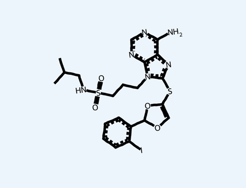 CC(C)CNS(=O)(=O)CCCn1c(SC2=COC(c3ccccc3I)O2)nc2c(N)ncnc21